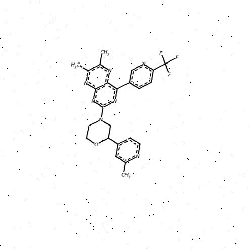 Cc1cc(C2CN(c3nc(-c4ccc(C(F)(F)F)nc4)c4nc(C)c(C)nc4n3)CCO2)ccn1